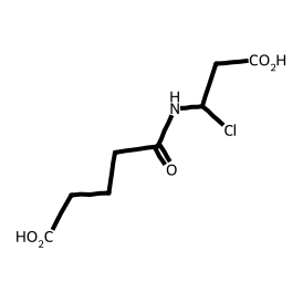 O=C(O)CCCC(=O)NC(Cl)CC(=O)O